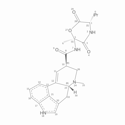 CC(C)[C@@H]1NC(=O)[C@@](C)(NC(=O)[C@@H]2C=C3c4cccc5[nH]cc(c45)C[C@H]3N(C)C2)OC1=O